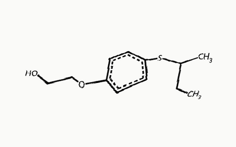 CCC(C)Sc1ccc(OCCO)cc1